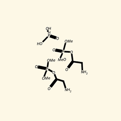 COP(=O)(OC)OC(=O)CN.COP(=O)(OC)OC(=O)CN.O=[PH](O)O